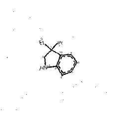 CCC1(C(C)C)CNc2ccccc21